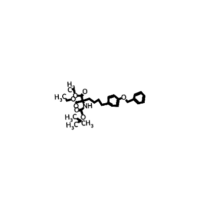 CCOC(=O)C(CCCCc1ccc(OCc2ccccc2)cc1)(NC(=O)OC(C)(C)C)C(=O)OCC